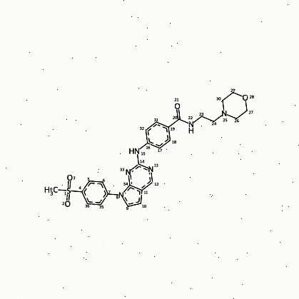 CS(=O)(=O)c1ccc(-n2ccc3cnc(Nc4ccc(C(=O)NCCN5CCOCC5)cc4)nc32)cc1